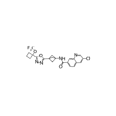 O=C(NC12CC(c3nnc(C4(OC(F)(F)F)CCC4)o3)(C1)C2)c1ccc2cc(Cl)cnc2c1